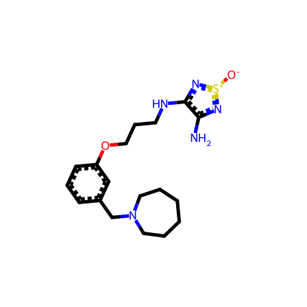 Nc1n[s+]([O-])nc1NCCCOc1cccc(CN2CCCCCC2)c1